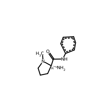 CN1CCC[C@]1(N)C(=O)Nc1ccccc1